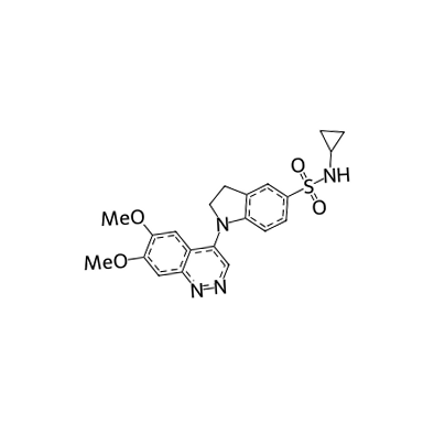 COc1cc2nncc(N3CCc4cc(S(=O)(=O)NC5CC5)ccc43)c2cc1OC